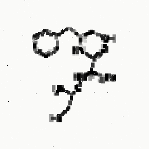 CC[C@H](C)[C@@H](NCC(N)CS)C(=O)N[C@H](CO)Cc1ccccc1